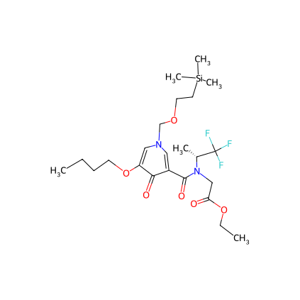 CCCCOc1cn(COCC[Si](C)(C)C)cc(C(=O)N(CC(=O)OCC)[C@H](C)C(F)(F)F)c1=O